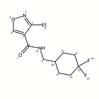 CCc1nocc1C(=O)NCC1CCC(F)(F)CC1